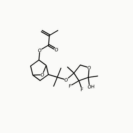 C=C(C)C(=O)OC1CC2CC(C(C)(C)OC3(C)COC(C)(O)C3(F)F)C1O2